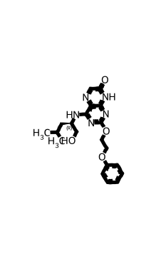 CC(C)C[C@H](CO)Nc1nc(OCCOc2ccccc2)nc2[nH]c(=O)cnc12